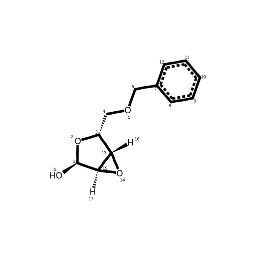 O[C@H]1O[C@H](COCc2ccccc2)[C@@H]2O[C@H]21